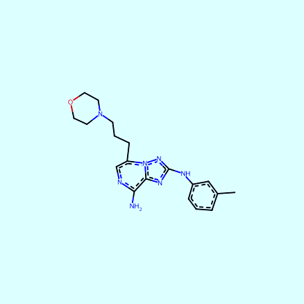 Cc1cccc(Nc2nc3c(N)ncc(CCCN4CCOCC4)n3n2)c1